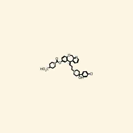 O=C(O)C1CCN(C(=O)Oc2ccc3c(c2)/C(=C/CCN2CCC(O)(c4ccc(Cl)cc4)CC2)c2cccnc2CO3)CC1